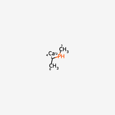 CCPC.[Ca]